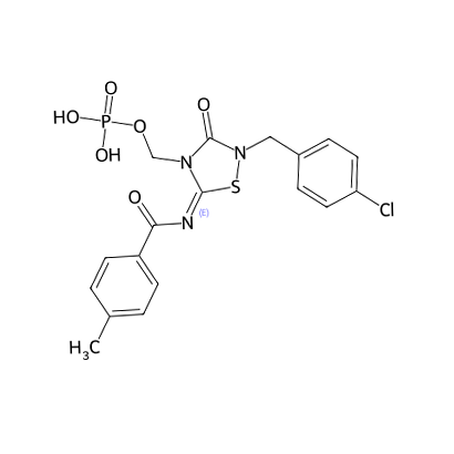 Cc1ccc(C(=O)/N=c2/sn(Cc3ccc(Cl)cc3)c(=O)n2COP(=O)(O)O)cc1